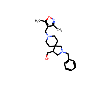 Cc1noc(C)c1CN1CCC2(CC1)CN(Cc1ccccc1)CC2CO